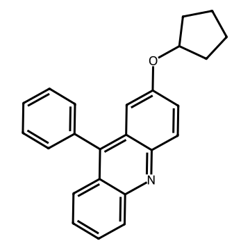 c1ccc(-c2c3ccccc3nc3ccc(OC4CCCC4)cc23)cc1